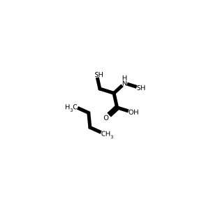 CCCC.O=C(O)C(CS)NS